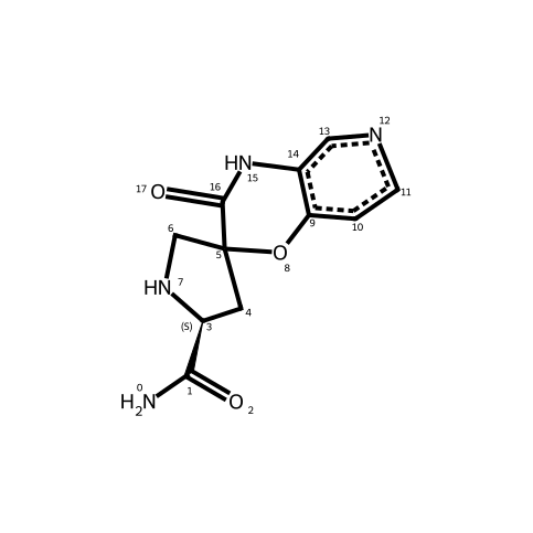 NC(=O)[C@@H]1CC2(CN1)Oc1ccncc1NC2=O